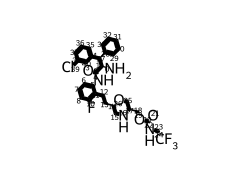 N[C@H](C(=O)Nc1cccc(F)c1CC[C@@H]1CN[C@H](COC(=O)NCC(F)(F)F)CO1)[C@H](c1ccccc1)c1cccc(Cl)c1